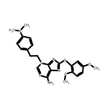 COc1ccc(OC)c(Sc2nc3c(N)ncn(CCc4ccc(N(C)C)cc4)c-3n2)c1